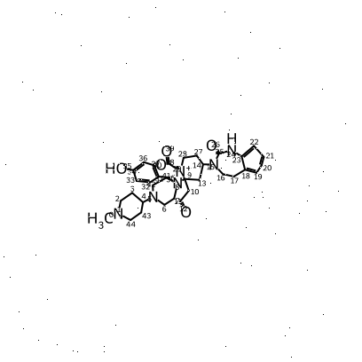 CN1CCC(N2CCN(C3(CC=O)CC(N4CCc5ccccc5NC4=O)CC[N@+]3(Cc3ccc(O)cc3)C(=O)[O-])CC2)CC1